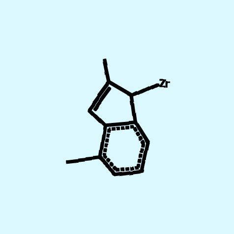 CC1=Cc2c(C)cccc2[CH]1[Zr]